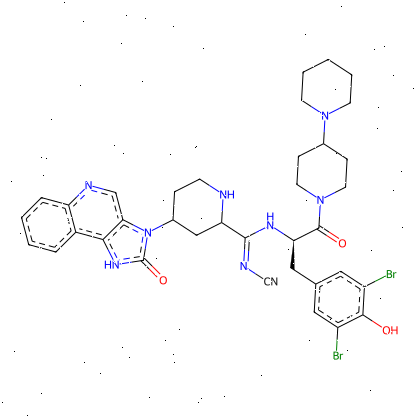 N#CN=C(N[C@H](Cc1cc(Br)c(O)c(Br)c1)C(=O)N1CCC(N2CCCCC2)CC1)C1CC(n2c(=O)[nH]c3c4ccccc4ncc32)CCN1